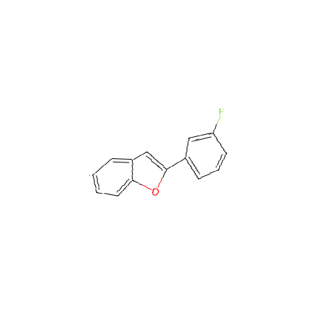 Fc1cccc(-c2cc3c[c]ccc3o2)c1